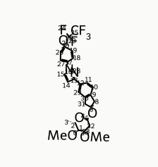 CO[C@H]1[C@H](C)O[C@@H](OC2Cc3ccc(-c4ccn(-c5ccc(OC(F)(F)C(F)(F)F)cc5)n4)cc3C2)C[C@@H]1OC